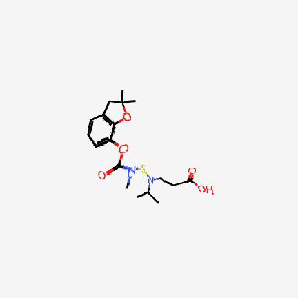 CC(C)N(CCC(=O)O)SN(C)C(=O)Oc1cccc2c1OC(C)(C)C2